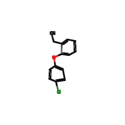 N#CCc1ccccc1Oc1ccc(Cl)cc1